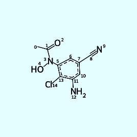 CC(=O)N(O)c1cc(C#N)cc(N)c1Cl